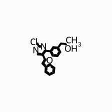 CC(O)Cc1cccc(-c2nc(Cl)ncc2-c2cc3ccccc3o2)c1